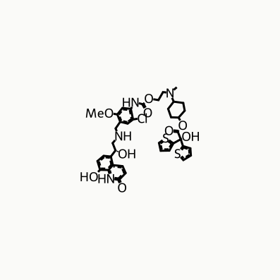 COc1cc(NC(=O)OCCN(C)C2CCC(OC(=O)C(O)(c3cccs3)c3cccs3)CC2)c(Cl)cc1CNC[C@H](O)c1ccc(O)c2[nH]c(=O)ccc12